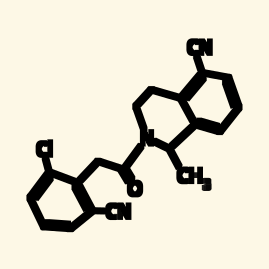 CC1c2cccc(C#N)c2CCN1C(=O)Cc1c(Cl)cccc1C#N